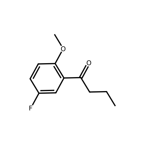 CCCC(=O)c1cc(F)ccc1OC